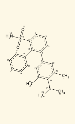 Cc1cc(-c2cccc(S(N)(=O)=O)c2-c2ccccc2)cc(C)c1N(C)C